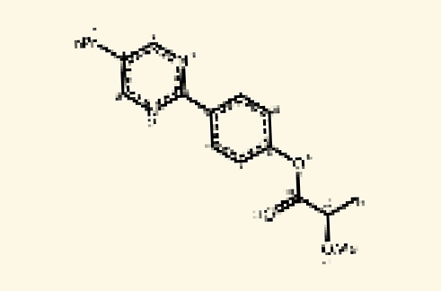 CCCc1cnc(-c2ccc(OC(=O)C(C)OC)cc2)nc1